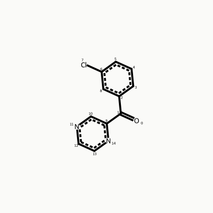 O=C(c1cccc(Cl)c1)c1cnccn1